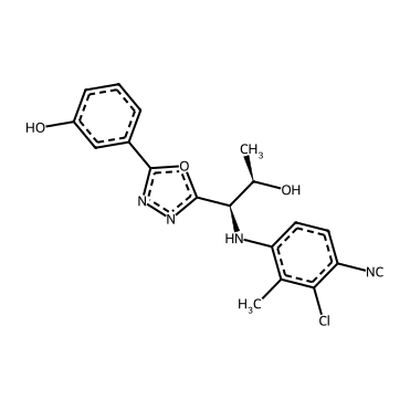 [C-]#[N+]c1ccc(N[C@@H](c2nnc(-c3cccc(O)c3)o2)[C@@H](C)O)c(C)c1Cl